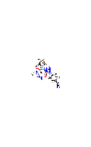 CCN(C#N)C(=O)C(C)(NC(=O)Nc1ccc(C#N)cc1)c1ccsc1